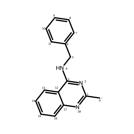 [CH2]c1nc(NCc2ccccc2)c2ccccc2n1